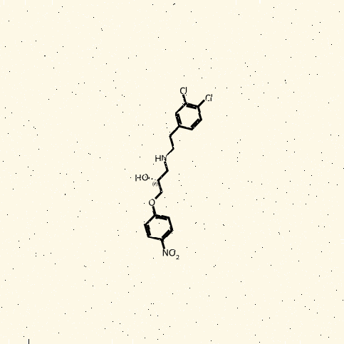 O=[N+]([O-])c1ccc(OC[C@H](O)CNCCc2ccc(Cl)c(Cl)c2)cc1